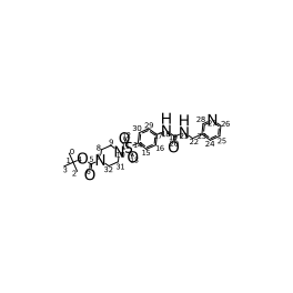 CC(C)(C)OC(=O)N1CCN(S(=O)(=O)c2ccc(NC(=O)NCc3cccnc3)cc2)CC1